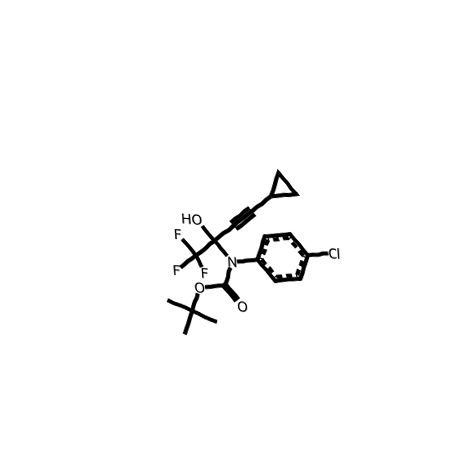 CC(C)(C)OC(=O)N(c1ccc(Cl)cc1)C(O)(C#CC1CC1)C(F)(F)F